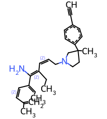 C#Cc1ccc(C2(C)CCN(C/C=C\C(CC)=C(/N)C(=CC)/C=C\C(=C)C)C2)cc1